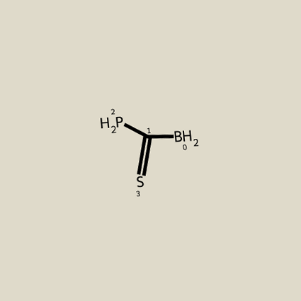 BC(P)=S